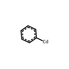 [Cd][c]1ccccc1